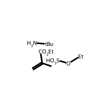 C=C(C)C(=O)OCC.CC(C)(C)N.CCOS(=O)(=O)O